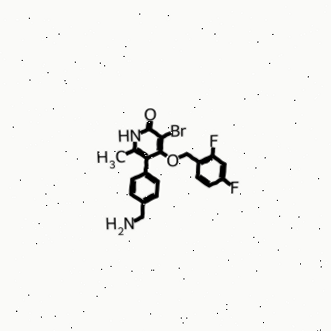 Cc1[nH]c(=O)c(Br)c(OCc2ccc(F)cc2F)c1-c1ccc(CN)cc1